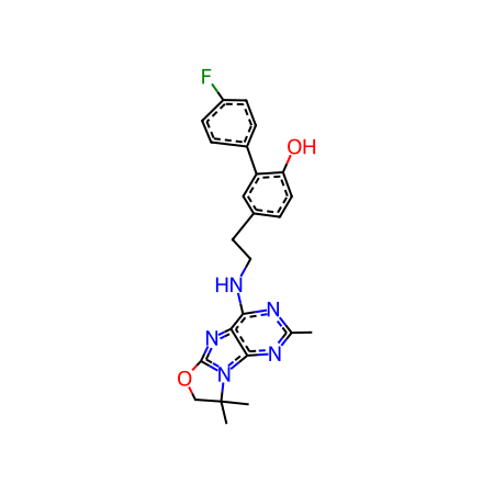 Cc1nc(NCCc2ccc(O)c(-c3ccc(F)cc3)c2)c2nc3n(c2n1)C(C)(C)CO3